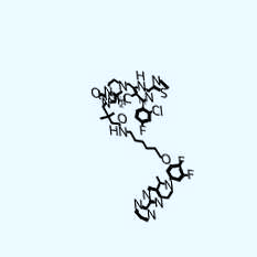 CC1c2cnc(-c3ncccn3)nc2CCN1c1cc(F)c(F)c(OCCCCCCNC(=O)CC(C)(C)CN2C[C@@H]3CN(CC4=C(C(=O)O)[C@H](c5ccc(F)cc5Cl)N=C(c5nccs5)N4)CCN3C2=O)c1